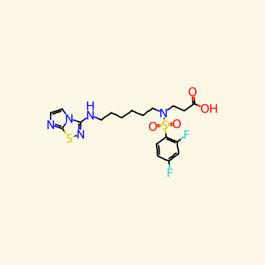 O=C(O)CCN(CCCCCCNc1nsc2nccn12)S(=O)(=O)c1ccc(F)cc1F